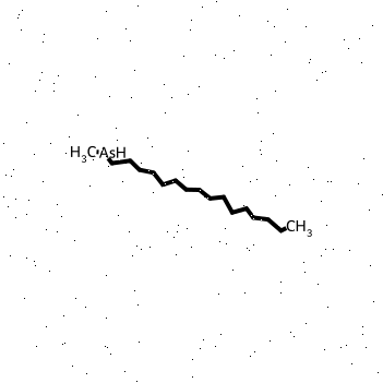 CCCCCCCCCCCCCCCC[AsH]C